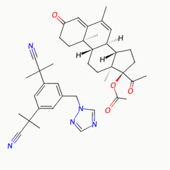 CC(=O)O[C@]1(C(C)=O)CC[C@H]2[C@@H]3C=C(C)C4=CC(=O)CC[C@]4(C)[C@H]3CC[C@@]21C.CC(C)(C#N)c1cc(Cn2cncn2)cc(C(C)(C)C#N)c1